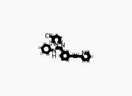 Clc1ccc2nc(-c3cccc(C#Cc4ccccn4)c3)c(NC3CCCCC3)n2c1